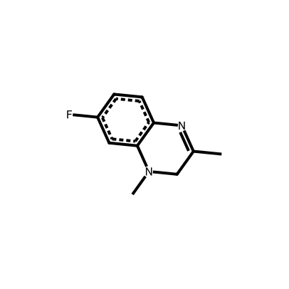 CC1=Nc2ccc(F)cc2N(C)C1